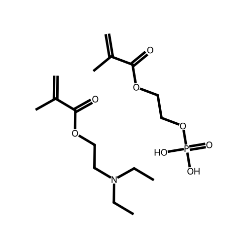 C=C(C)C(=O)OCCN(CC)CC.C=C(C)C(=O)OCCOP(=O)(O)O